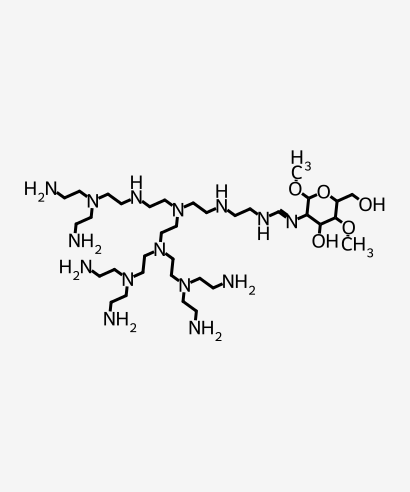 COC1OC(CO)C(OC)C(O)C1N=CNCCNCCN(CCNCCN(CCN)CCN)CCN(CCN(CCN)CCN)CCN(CCN)CCN